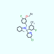 CC(=O)COc1cc(CN[C@@](Cc2ccccc2)(c2cc(F)cc(C(F)(F)F)c2)c2ccc(Cl)cn2)ccc1F